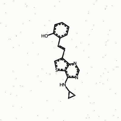 Oc1ccccc1/C=C/c1csc2c(NC3CC3)ncnc12